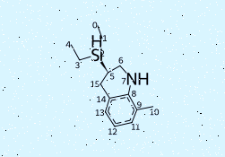 CC[SiH](CC)[C@H]1CNc2c(C)cccc2C1